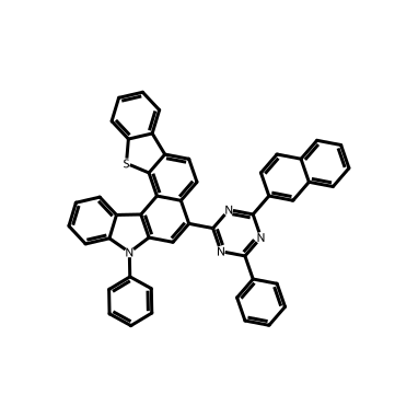 c1ccc(-c2nc(-c3ccc4ccccc4c3)nc(-c3cc4c(c5ccccc5n4-c4ccccc4)c4c3ccc3c5ccccc5sc34)n2)cc1